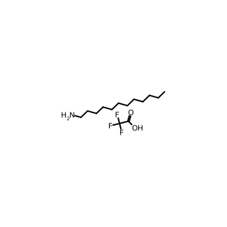 CCCCCCCCCCCCN.O=C(O)C(F)(F)F